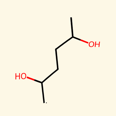 [CH2]C(O)CCC(C)O